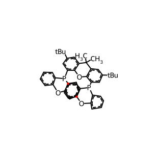 CC(C)(C)c1cc(P2c3ccccc3Oc3ccccc32)c2c(c1)C(C)(C)c1cc(C(C)(C)C)cc(P3c4ccccc4Oc4ccccc43)c1O2